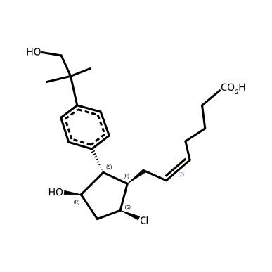 CC(C)(CO)c1ccc([C@@H]2[C@@H](C/C=C\CCCC(=O)O)[C@@H](Cl)C[C@H]2O)cc1